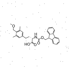 COCc1c(C)cc(CC[C@H](NC(=O)OCC2c3ccccc3-c3ccccc32)C(=O)O)cc1C